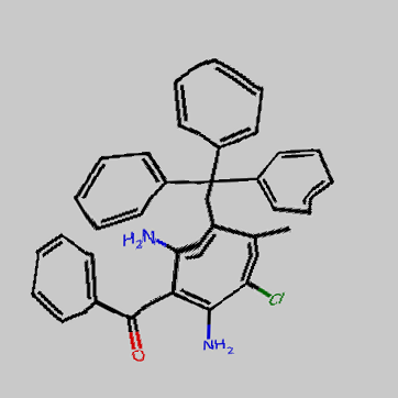 Cc1c(Cl)c(N)c(C(=O)c2ccccc2)c(N)c1C(c1ccccc1)(c1ccccc1)c1ccccc1